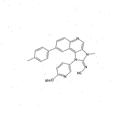 COc1ccc(-n2c(=NC#N)n(C)c3cnc4ccc(-c5ccc(C)cc5)cc4c32)cn1